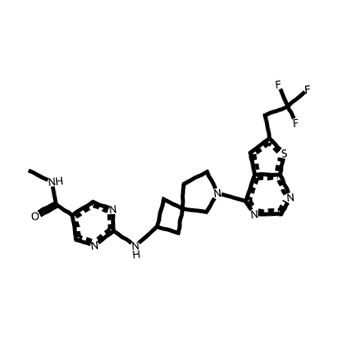 CNC(=O)c1cnc(NC2CC3(CCN(c4ncnc5sc(CC(F)(F)F)cc45)C3)C2)nc1